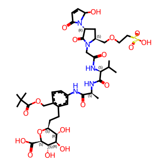 CC(C)[C@H](NC(=O)CN1C(=O)[C@H](N2C(=O)C=CC2O)C[C@H]1COCCS(=O)(=O)O)C(=O)N[C@@H](C)C(=O)Nc1ccc(COC(=O)C(C)(C)C)c(CC[C@@H]2O[C@H](C(=O)O)[C@@H](O)[C@H](O)[C@H]2O)c1